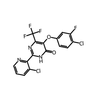 O=c1[nH]c(-c2ncccc2Cl)nc(C(F)(F)F)c1Oc1ccc(Cl)c(F)c1